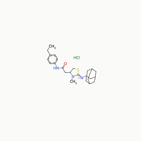 CCc1ccc(NC(=O)CC2CS/C(=N\C34CC5CC(CC(C5)C3)C4)N2C)cc1.Cl